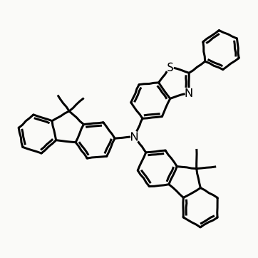 CC1(C)c2ccccc2-c2ccc(N(c3ccc4c(c3)C(C)(C)C3CC=CC=C43)c3ccc4sc(-c5ccccc5)nc4c3)cc21